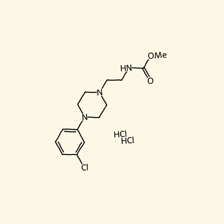 COC(=O)NCCN1CCN(c2cccc(Cl)c2)CC1.Cl.Cl